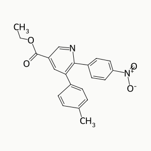 CCOC(=O)c1cnc(-c2ccc([N+](=O)[O-])cc2)c(-c2ccc(C)cc2)c1